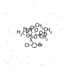 CC(=O)OCC(OC(Sc1cc(Br)ccc1Cl)[C@H](CN)OC(C)=O)[C@@H](C)OC(C)=O